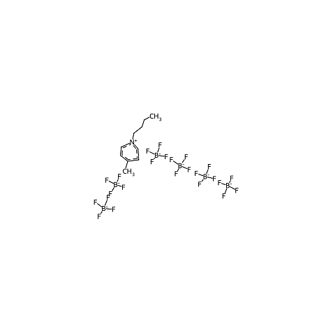 CCCC[n+]1ccc(C)cc1.F[B-](F)(F)F.F[B-](F)(F)F.F[B-](F)(F)F.F[B-](F)(F)F.F[B-](F)(F)F.F[B-](F)(F)F